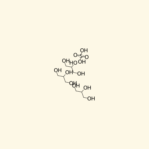 O=S(=O)(O)O.OCC(O)CO.OCC(O)CO.OCC(O)CO